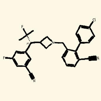 CC(C)(F)[C@@H](c1cc(F)cc(C#N)c1)C1CN(Cc2cccc(C#N)c2-c2ccc(Cl)cc2)C1